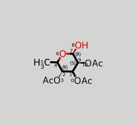 CC(=O)OC1[C@H](OC(C)=O)C(C)O[C@@H](O)[C@H]1OC(C)=O